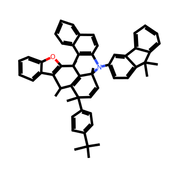 CC1C2=C3C(C)(c4oc5ccccc5c41)c1c(ccc4ccccc14)N(c1ccc4c(c1)-c1ccccc1C4(C)C)C3(C)C=CC2(C)c1ccc(C(C)(C)C)cc1